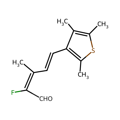 CC(/C=C/c1c(C)sc(C)c1C)=C(\F)C=O